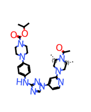 CC(=O)N1[C@H](C)CN(c2cc(-n3cnc(Nc4ccc(N5CCN(C(=O)OC(C)C)CC5)cc4)n3)ccn2)C[C@@H]1C